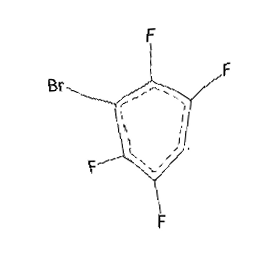 Fc1[c]c(F)c(F)c(Br)c1F